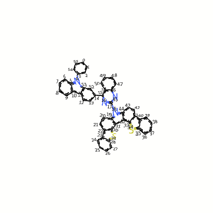 c1ccc(-n2c3ccccc3c3ccc(-c4nc(-n5c6ccc7c8ccccc8sc7c6c6c7sc8ccccc8c7ccc65)nc5ccccc45)cc32)cc1